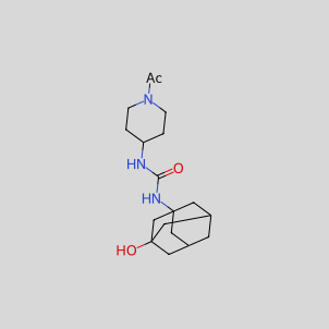 CC(=O)N1CCC(NC(=O)NC23CC4CC(CC(O)(C4)C2)C3)CC1